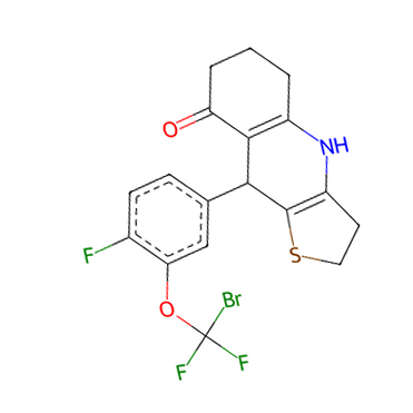 O=C1CCCC2=C1C(c1ccc(F)c(OC(F)(F)Br)c1)C1=C(CCS1)N2